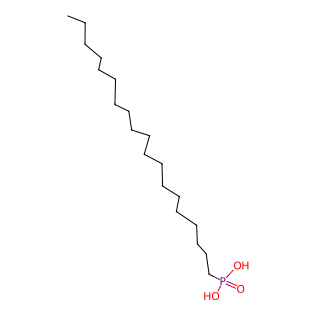 CCCCCCCCCCCCCCCCCCCP(=O)(O)O